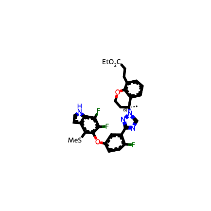 CCOC(=O)CCc1cccc2c1OCC[C@]2(C)n1cnc(-c2cc(Oc3c(F)c(F)c4[nH]ccc4c3SC)ccc2F)n1